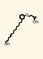 CCC/C=C/C/C=C/CCCCCCCc1cccc(OCCC2CC2O)c1